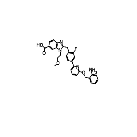 COCCn1c(Cc2ccc(-c3cccc(OCc4ccccc4N)n3)cc2F)nc2ccc(C(=O)O)cc21